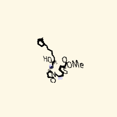 COC(=O)c1ccc(/C=C\CN2C(=O)CC[C@@H]2/C=C/[C@@H](O)[C@@H](C)CCCCCc2ccccc2)s1